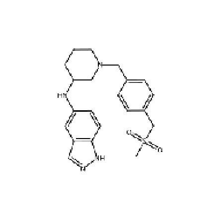 CS(=O)(=O)Cc1ccc(CN2CCCC(Nc3ccc4[nH]ncc4c3)C2)cc1